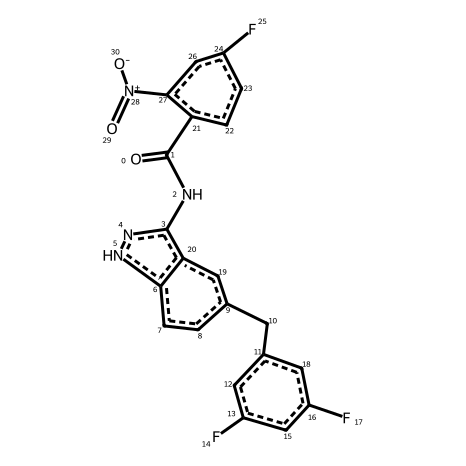 O=C(Nc1n[nH]c2ccc(Cc3cc(F)cc(F)c3)cc12)c1ccc(F)cc1[N+](=O)[O-]